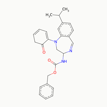 CC(C)c1ccc2c(c1)N(C1=CC=CCC1=O)CC(NC(=O)OCc1ccccc1)N=C2